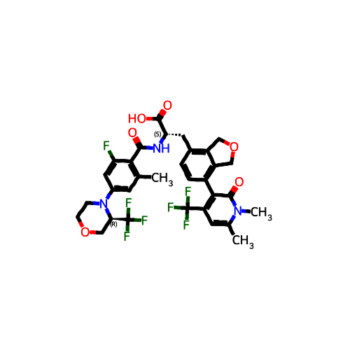 Cc1cc(N2CCOC[C@@H]2C(F)(F)F)cc(F)c1C(=O)N[C@@H](Cc1ccc(-c2c(C(F)(F)F)cc(C)n(C)c2=O)c2c1COC2)C(=O)O